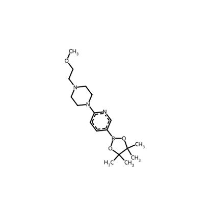 COCCN1CCN(c2ccc(B3OC(C)(C)C(C)(C)O3)cn2)CC1